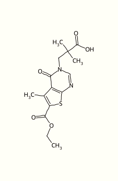 CCOC(=O)c1sc2ncn(CC(C)(C)C(=O)O)c(=O)c2c1C